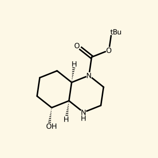 CC(C)(C)OC(=O)N1CCN[C@H]2[C@H](O)CCC[C@H]21